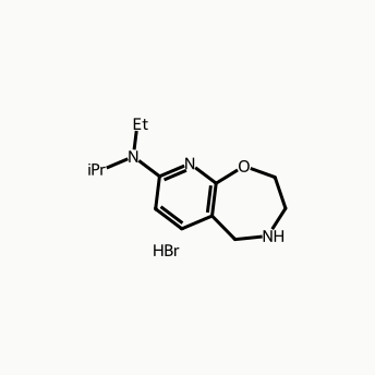 Br.CCN(c1ccc2c(n1)OCCNC2)C(C)C